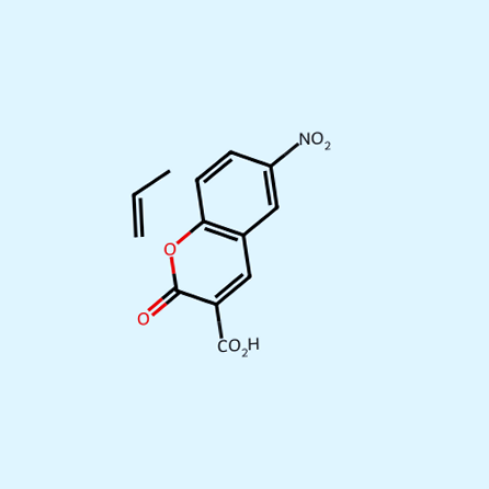 C=CC.O=C(O)c1cc2cc([N+](=O)[O-])ccc2oc1=O